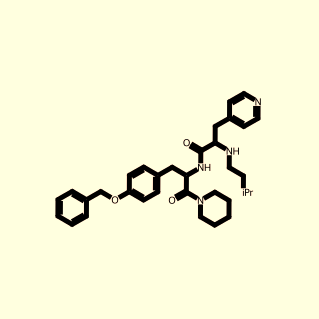 CC(C)CCNC(Cc1ccncc1)C(=O)NC(Cc1ccc(OCc2ccccc2)cc1)C(=O)N1CCCCC1